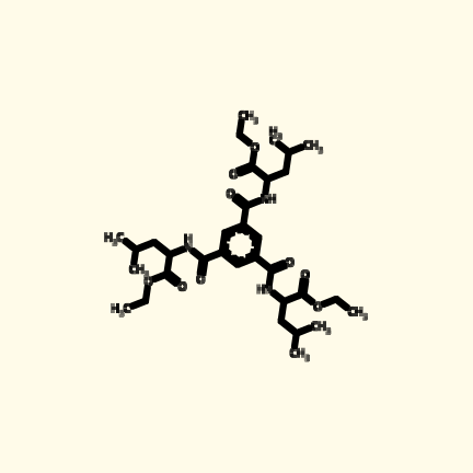 CCOC(=O)C(CC(C)C)NC(=O)c1cc(C(=O)NC(CC(C)C)C(=O)OCC)cc(C(=O)NC(CC(C)C)C(=O)OCC)c1